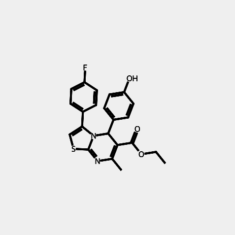 CCOC(=O)C1=C(C)N=C2SC=C(c3ccc(F)cc3)N2C1c1ccc(O)cc1